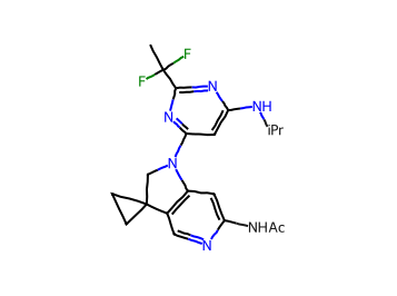 CC(=O)Nc1cc2c(cn1)C1(CC1)CN2c1cc(NC(C)C)nc(C(C)(F)F)n1